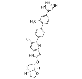 Cc1cc(N(C=N)NN)ccc1-c1ccc(-c2nc3nc(OC4CO[C@@H]5CCO[C@H]45)[nH]c3cc2Cl)cc1